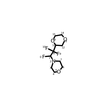 FC(N1CCOCC1)C(F)(F)C1COCCO1